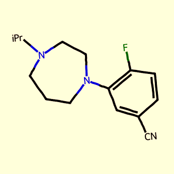 CC(C)N1CCCN(c2cc(C#N)ccc2F)CC1